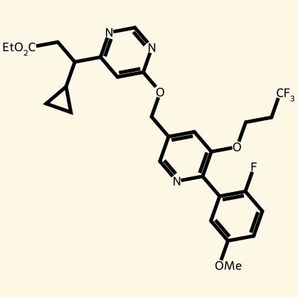 CCOC(=O)CC(c1cc(OCc2cnc(-c3cc(OC)ccc3F)c(OCCC(F)(F)F)c2)ncn1)C1CC1